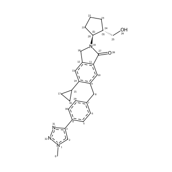 Cn1cc(-c2ccc(Cc3cc4c(cc3C3CC3)CN([C@H]3CCC[C@@H]3CO)C4=O)cc2)nn1